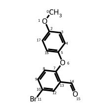 COc1ccc(Oc2ccc(Br)cc2C=O)cc1